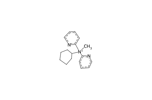 C[N+](c1ccccn1)(c1ccccn1)C1CCCCC1